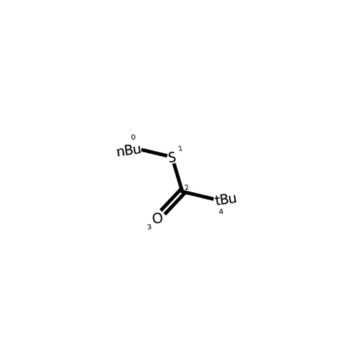 CCCCSC(=O)C(C)(C)C